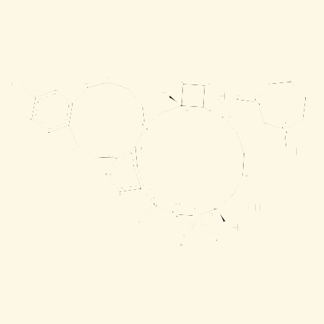 C[C@@H]1[C@@H](C)CCC[C@@H](CN2CCCCN(C)C2)[C@@H]2CC[C@H]2CN2CCCCc3cc(Cl)ccc3COc3ccc(cc32)C(=O)NS1(=O)=O